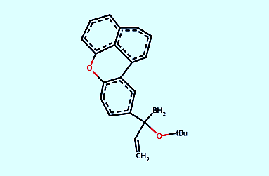 BC(C=C)(OC(C)(C)C)c1ccc2c(c1)-c1cccc3cccc(c13)O2